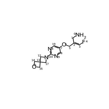 NC/C(=C\F)COc1cnc(N2CC3(COC3)C2)nc1